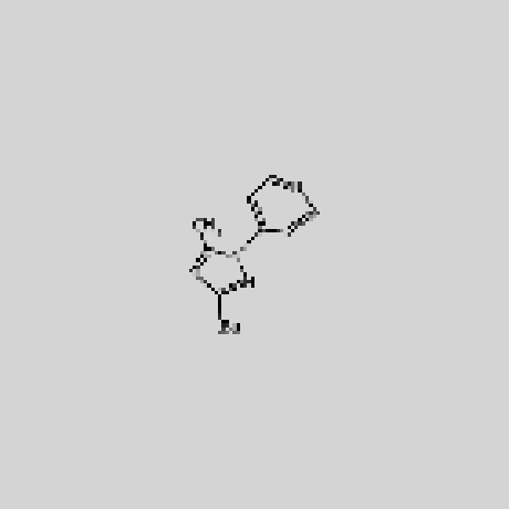 Cc1cc(C(C)(C)C)nn1-c1ccncc1